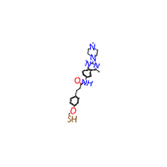 Cc1nc(N2CCN(C)CC2)nc2ccc(NC(=O)CCc3ccc(OCS)cc3)cc12